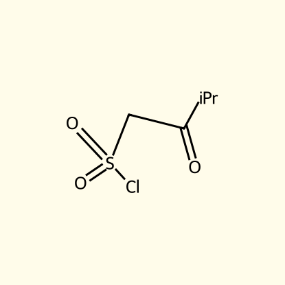 CC(C)C(=O)CS(=O)(=O)Cl